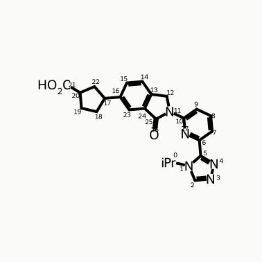 CC(C)n1cnnc1-c1cccc(N2Cc3ccc(C4CCC(C(=O)O)C4)cc3C2=O)n1